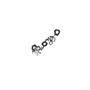 CN(Cc1ccc(CN2C[C@@H](c3ccccc3)OC2=O)cc1)Cc1ccccn1